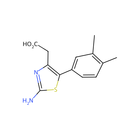 Cc1ccc(-c2sc(N)nc2CC(=O)O)cc1C